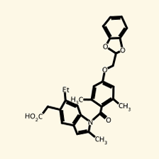 CCc1cc2c(cc1CC(=O)O)cc(C)n2C(=O)c1c(C)cc(OCC2Oc3ccccc3O2)cc1C